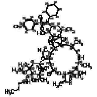 CCCNC[C@]1(O)[C@H](C)O[C@@H](O[C@H]2[C@H](C)[C@@H](O[C@@H]3O[C@H](C)C[C@H](N(C4CCCCC4)S(=O)(=O)c4ccc(Cl)cc4)[C@H]3O)[C@](C)(O)C[C@@H](C)CN[C@H](C)[C@@H](O)[C@](C)(O)[C@@H](CC)OC(=O)[C@@H]2C)C[C@@]1(C)OC